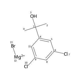 CC(C)(O)c1cc(Cl)cc(Cl)c1.[Mg+2][Br]